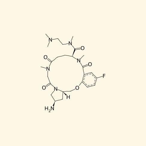 CN(C)CCN(C)C(=O)[C@@H]1CCC(=O)N(C)CC(=O)N2C[C@H](N)C[C@H]2COc2ccc(F)cc2C(=O)N1C